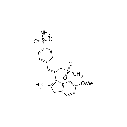 COc1ccc2c(c1)C(C(=Cc1ccc(S(N)(=O)=O)cc1)CS(C)(=O)=O)=C(C)C2